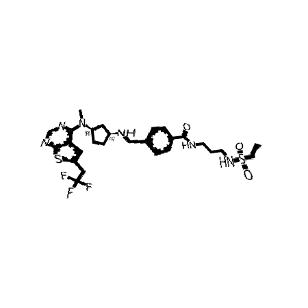 C=CS(=O)(=O)NCCCNC(=O)c1ccc(CN[C@H]2CC[C@@H](N(C)c3ncnc4sc(CC(F)(F)F)cc34)C2)cc1